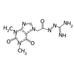 Cn1c(=O)c2c(ncn2CC(=O)N=NC(=N)N)n(C)c1=O